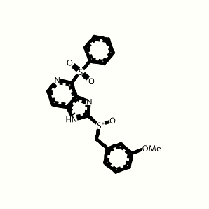 COc1cccc(C[S+]([O-])c2nc3c(S(=O)(=O)c4ccccc4)nccc3[nH]2)c1